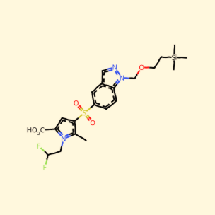 Cc1c(S(=O)(=O)c2ccc3c(cnn3COCC[Si](C)(C)C)c2)cc(C(=O)O)n1CC(F)F